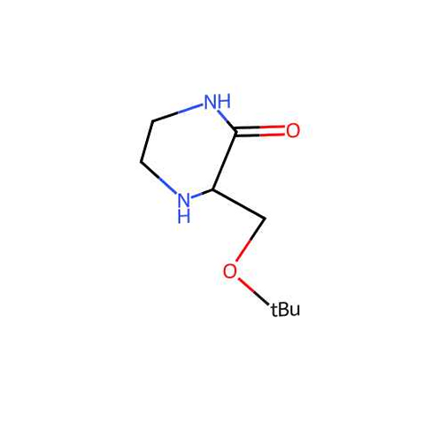 CC(C)(C)OCC1NCCNC1=O